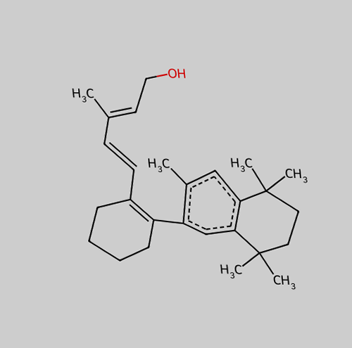 CC(C=CC1=C(c2cc3c(cc2C)C(C)(C)CCC3(C)C)CCCC1)=CCO